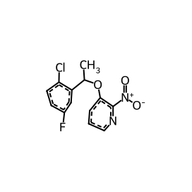 CC(Oc1cccnc1[N+](=O)[O-])c1cc(F)ccc1Cl